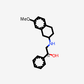 COc1ccc2c(c1)CC(NC[C@@H](O)c1ccccc1)CC2